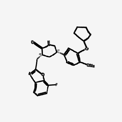 COc1ccc([C@H]2CNC(=O)[C@@H](Cc3nc4cccc(F)c4o3)C2)cc1OC1CCCC1